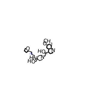 COc1ccc2nccc([C@@H](O)CN3CCC(CO)(NC/C=C/c4ccco4)CC3)c2c1